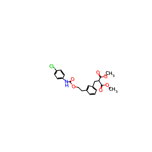 COC(=O)C(Cc1cccc(CCOC(=O)Nc2ccc(Cl)cc2)c1)C(=O)OC